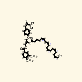 CC/C=C\C/C=C\C/C=C\C/C=C\C/C=C\CCCC(=O)OC(COC(=O)c1ccc(OC)c(OC)c1)COc1ccc(CC(C)N(CC)CC)cc1